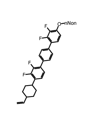 C=CC1CCC(c2ccc(-c3ccc(-c4ccc(OCCCCCCCCC)c(F)c4F)cc3)c(F)c2F)CC1